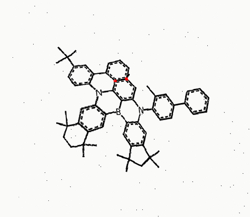 Cc1cc2c3c(c1)N(c1ccc(C(C)(C)C)cc1-c1ccccc1)c1cc4c(cc1B3c1cc3c(cc1N2c1ccc(-c2ccccc2)cc1C)C(C)(C)CC3(C)C)C(C)(C)CCC4(C)C